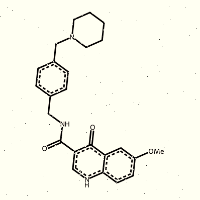 COc1ccc2[nH]cc(C(=O)NCc3ccc(CN4CCCCC4)cc3)c(=O)c2c1